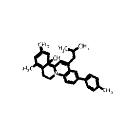 CC1=CC(C)=C2CCN3c4ccc(-c5ccc(C)cc5)cc4C(CC(C)C)=CC3C2(C)C1